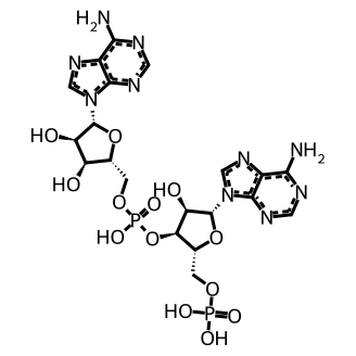 Nc1ncnc2c1ncn2[C@@H]1O[C@H](COP(=O)(O)O[C@H]2[C@@H](O)[C@H](n3cnc4c(N)ncnc43)O[C@@H]2COP(=O)(O)O)[C@@H](O)[C@H]1O